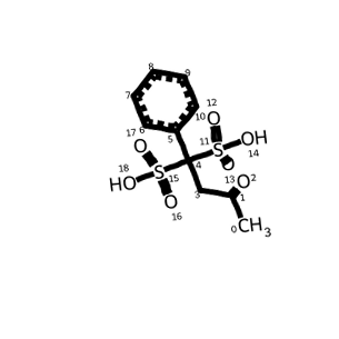 CC(=O)CC(c1ccccc1)(S(=O)(=O)O)S(=O)(=O)O